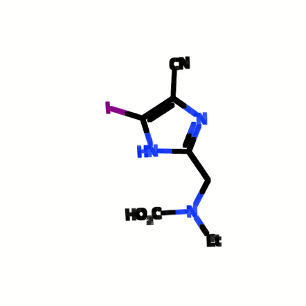 CCN(Cc1nc(C#N)c(I)[nH]1)C(=O)O